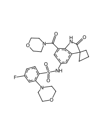 O=C(c1cc(NS(=O)(=O)c2ccc(F)cc2N2CCOCC2)cc2c1NC(=O)C21CCC1)N1CCOCC1